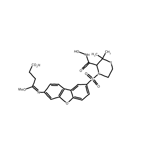 COC(CCC(=O)O)=Nc1ccc2c(c1)oc1ccc(S(=O)(=O)N3CCSC(C)(C)C3C(=O)NO)cc12